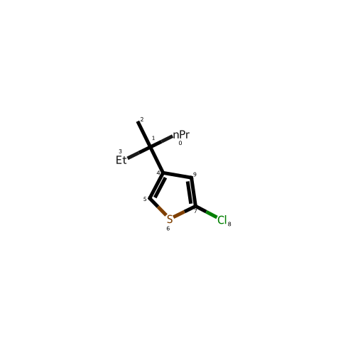 CCCC(C)(CC)c1csc(Cl)c1